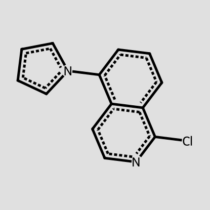 Clc1nccc2c(-n3cccc3)cccc12